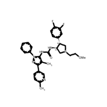 COCCN1C[C@@H](NC(=O)Nc2c(C)c(-c3ccc(C)nc3)nn2-c2ccccc2)[C@H](c2ccc(F)c(F)c2)C1